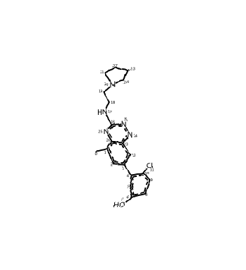 Cc1cc(-c2cc(O)ccc2Cl)cc2nnc(NCCN3CCCC3)nc12